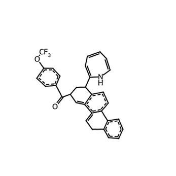 O=C(c1ccc(OC(F)(F)F)cc1)C1C=c2c(ccc3c2=CCc2ccccc2-3)C(C2=CC=CC=CN2)C1